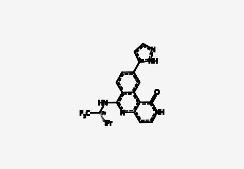 CC(C)[C@@H](Nc1nc2cc[nH]c(=O)c2c2cc(-c3ccn[nH]3)ccc12)C(F)(F)F